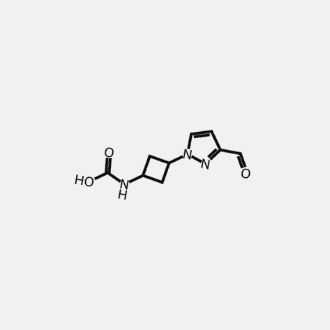 O=Cc1ccn(C2CC(NC(=O)O)C2)n1